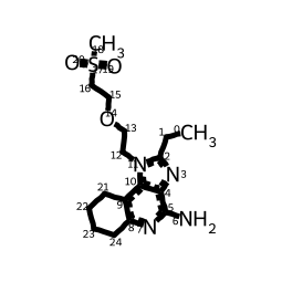 CCc1nc2c(N)nc3c(c2n1CCOCCS(C)(=O)=O)CCCC3